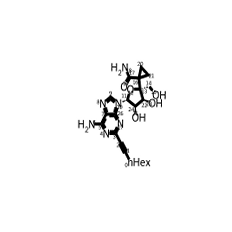 CCCCCCC#Cc1nc(N)c2ncn([C@@H]3O[C@@](CO)(C4(C(N)=O)CC4)[C@@H](O)[C@H]3O)c2n1